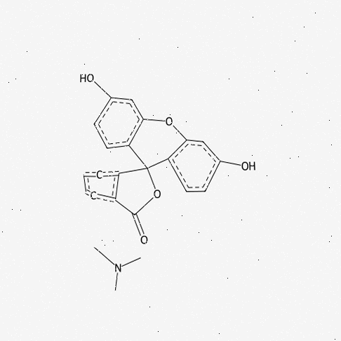 CN(C)C.O=C1OC2(c3ccc(O)cc3Oc3cc(O)ccc32)c2ccccc21